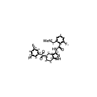 CNCc1cccc(F)c1C(=O)Nc1n[nH]c2c1CN(S(=O)(=O)c1cc(F)cc(F)c1)CC2